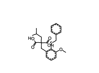 COc1cccc(CC(CC(C)C)(C(=O)O)C(=O)O)c1SCc1ccccc1